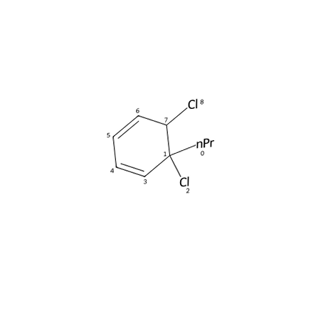 CCCC1(Cl)C=CC=CC1Cl